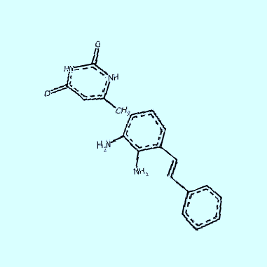 Cc1cc(=O)[nH]c(=O)[nH]1.Nc1cccc(C=Cc2ccccc2)c1N